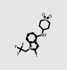 O=S1(=O)CCC(Nc2cccc3c2cc(I)n3CC(F)(F)F)CC1